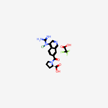 N=C(N)N(Cl)c1cncc2cc(C(=O)N3CCC[C@H]3C(=O)O)ccc12.O=C(O)C(F)(F)F